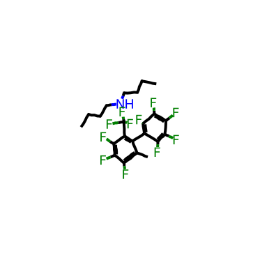 CCCCNCCCC.Cc1c(F)c(F)c(F)c(C(F)(F)F)c1-c1c(F)c(F)c(F)c(F)c1F